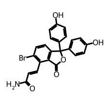 NC(=O)C=Cc1c(Br)ccc2c1C(=O)OC2(c1ccc(O)cc1)c1ccc(O)cc1